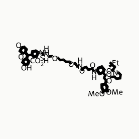 CCC(C)(C)CC(=O)N1CCCCC1C(=O)OC(CCc1ccc(OC)c(OC)c1)c1cccc(NC(=O)CCC(=O)NCCOCCCCCOCCNC(=S)Nc2ccc(-c3c4ccc(=O)cc-4oc4cc(O)ccc34)c(C(=O)O)c2)c1